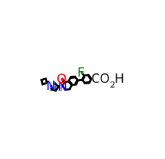 O=C(O)c1ccc(-c2ccc3c(c2)CCN([C@@H]2CCN(C4CCC4)C2)C3=O)c(F)c1